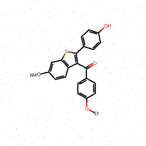 CCOc1ccc(C(=O)c2c(-c3ccc(O)cc3)sc3cc(OC)ccc23)cc1